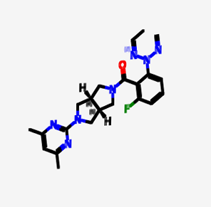 C=NN(/N=C\C)c1cccc(F)c1C(=O)N1C[C@@H]2CN(c3nc(C)cc(C)n3)C[C@@H]2C1